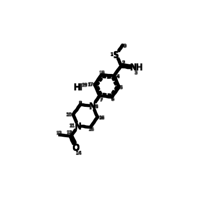 CSC(=N)c1ccc(N2CCN(C(C)=O)CC2)cc1.I